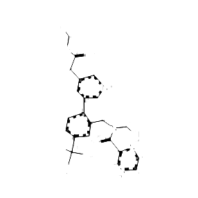 CCOC(=O)Cc1cncc(-c2ccc(C(F)(F)F)cc2CN(CC)C(=O)c2cnccn2)c1